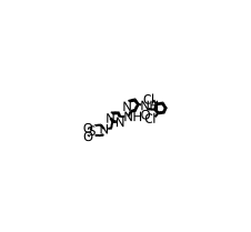 O=C(Nc1ccnc(Nc2ccnc(CN3CCS(=O)(=O)CC3)n2)c1)c1c(Cl)cccc1Cl